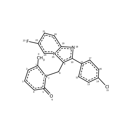 Cc1cccc(=O)n1Cc1c(-c2ccc(Cl)cc2)nc2ccc(F)cn12